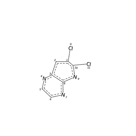 Clc1cc2nccnc2nc1Cl